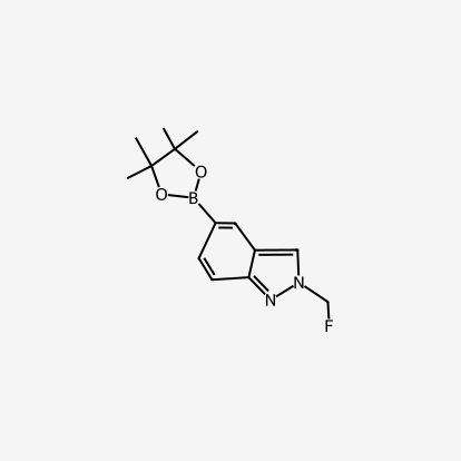 CC1(C)OB(c2ccc3nn(CF)cc3c2)OC1(C)C